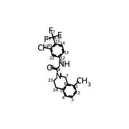 Cc1cccc2c1CN(C(=O)Nc1ccc(C(F)(F)F)c(Cl)c1)CC2